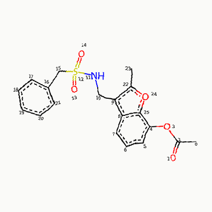 CC(=O)Oc1cccc2c(CNS(=O)(=O)Cc3ccccc3)c(C)oc12